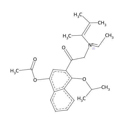 C/C=[N+](/CC(=O)c1cc(OC(C)=O)c2ccccc2c1OC(C)C)C(C)=C(C)C